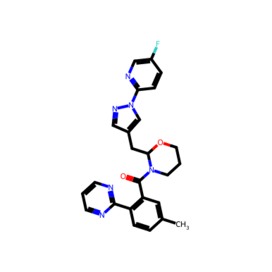 Cc1ccc(-c2ncccn2)c(C(=O)N2CCCOC2Cc2cnn(-c3ccc(F)cn3)c2)c1